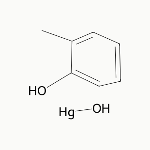 Cc1ccccc1O.[OH][Hg]